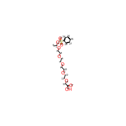 CC(OCCOCCOCCOCCOCC(=O)O)OS(=O)(=O)c1ccccc1